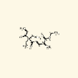 C=CC(=O)[N+](CC)(CC)C(=O)C=CC(=C)C(=O)OCC